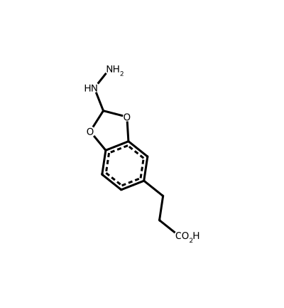 NNC1Oc2ccc(CCC(=O)O)cc2O1